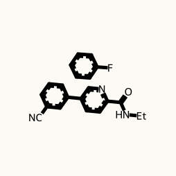 CCNC(=O)c1ccc(-c2cccc(C#N)c2)cn1.Fc1ccccc1